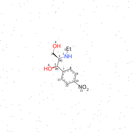 CCN[C@H](CO)[C@H](O)c1ccc([N+](=O)[O-])cc1